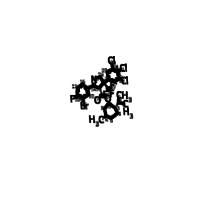 CC(C)[C@@H]1CC[C@@H](C)C[C@H]1OC(=O)[C@@H]1C(c2ccc(F)c(Br)c2)=NC[C@@]1(c1cc(Cl)c(Cl)c(Cl)c1)C(F)(F)F